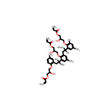 C=CC(=O)OCC(O)COc1ccc(C)cc1CC(CC)(CCCC)c1cc(C)cc(CC(CC)(CCCCC)c2cc(C)cc(CC)c2OCC(O)COC(=O)C=C)c1OCC(O)COC(=O)C=C